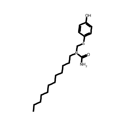 CCCCCCCCCCCCN(CSc1ccc(O)cc1)C(N)=O